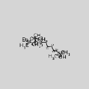 CC[Si](C)(C)OC(C)(C)[SiH2]CCCCCC[Si](C)(C)O